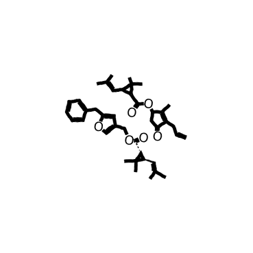 C=CCC1=C(C)C(OC(=O)C2C(C=C(C)C)C2(C)C)CC1=O.CC(C)=C[C@@H]1[C@@H](C(=O)OCc2coc(Cc3ccccc3)c2)C1(C)C